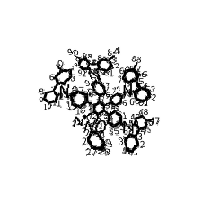 Cc1ccc2c(c1)c1ccccc1n2-c1ccc(-c2c(C#N)c(-c3nc4ccccc4o3)c(-c3ccc(-n4c5ccccc5c5cc(C)ccc54)cc3)c(-c3ccc(-n4c5ccccc5c5cc(C)ccc54)cc3)c2-c2ccc(-n3c4ccc(C)cc4c4cc(C)ccc43)cc2)cc1